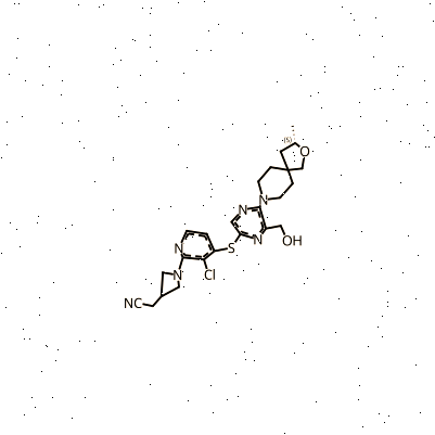 C[C@H]1CC2(CCN(c3ncc(Sc4ccnc(N5CC(CC#N)C5)c4Cl)nc3CO)CC2)CO1